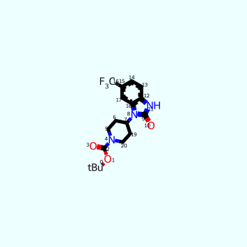 CC(C)(C)OC(=O)N1CCC(n2c(=O)[nH]c3ccc(C(F)(F)F)cc32)CC1